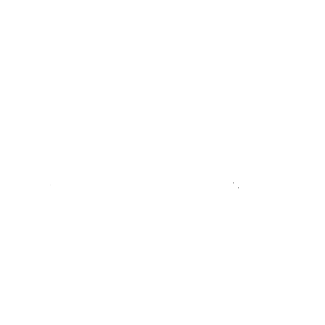 CCC(CC)Oc1c[n+]([O-])[c]c(C)c1-c1ccc(Cl)cc1Cl